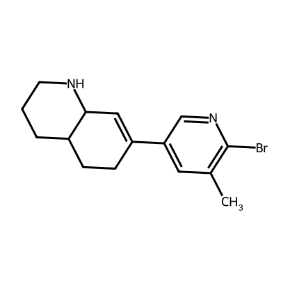 Cc1cc(C2=CC3NCCCC3CC2)cnc1Br